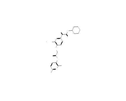 COc1cc(C(=O)C(=O)NC2CCCCC2)ccc1OCC(=O)Nc1ccc(Cl)nc1Cl